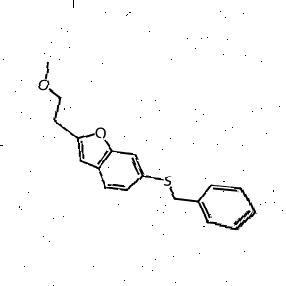 COCCc1cc2ccc(SCc3ccccc3)cc2o1